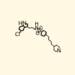 CN1CCC(CCCCc2ccc(S(=O)(=O)NCCCc3c[nH]c4ccc(Cl)cc34)cc2)CC1